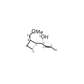 CC=C[C@@H](O)[C@@H]1CC[C@H]1COC